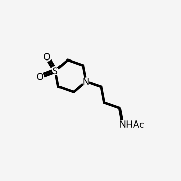 CC(=O)NCCCN1CCS(=O)(=O)CC1